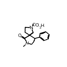 CN1CC(c2ccccc2)C2(CCN(C(=O)O)C2)C1=O